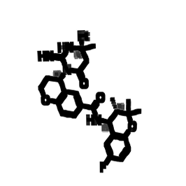 CC[C@@]1(C)CC(=O)N([C@@H]2CCOc3ccc(C(=O)N[C@@H]4c5cc(F)ccc5OC(C)(C)[C@H]4C)cc32)C(=N)N1